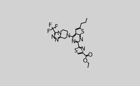 CCCc1cc2c(N3CCn4c(nnc4C(F)(F)F)C3)nc(-c3nc(C(=O)OCC)cs3)nc2s1